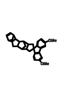 COc1ccc2c(c1)-c1cc(OC)ccc1C21CC2C(C1)C1CC2C2CC3C4C=CC(C4)C3C12